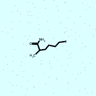 CC(CCCCI)C(N)=O